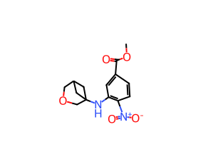 COC(=O)c1ccc([N+](=O)[O-])c(NC23COCC(C2)C3)c1